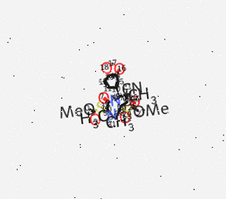 COC(=O)S[C@@]1(C)C(=O)N2[C@@H](c3ccc4c(c3)OCO4)[C@@](C)(C#N)C[C@]2(SC(=O)OC)C(=O)N1C